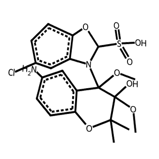 COC1(N2c3cc(Cl)ccc3OC2S(=O)(=O)O)c2cc(N)ccc2OC(C)(C)C1(O)OC